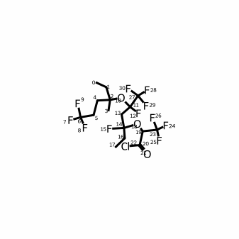 CCC(C)(CCC(F)(F)F)OC(F)(CC(F)(CC)OC(C(=O)Cl)C(F)(F)F)C(F)(F)F